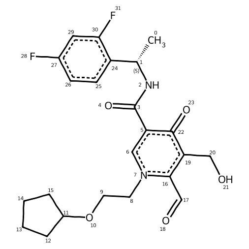 C[C@H](NC(=O)c1cn(CCOC2CCCC2)c(C=O)c(CO)c1=O)c1ccc(F)cc1F